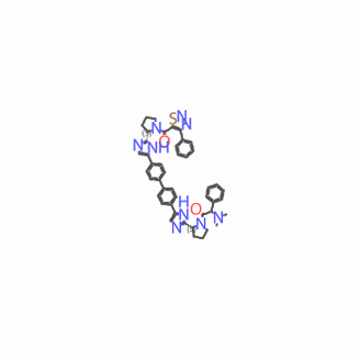 CN(C)C(C(=O)N1CCC[C@H]1c1ncc(-c2ccc(-c3ccc(-c4cnc([C@@H]5CCCN5C(=O)c5snnc5-c5ccccc5)[nH]4)cc3)cc2)[nH]1)c1ccccc1